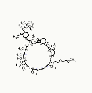 COCCOCCOC1C[C@@H]2CC[C@@H](C)[C@@](O)(O2)C(=O)C(=O)N2CCCC[C@H]2C(=O)O[C@H]([C@H](C)C[C@@H]2CCC(O[Si](C)(C)C(C)(C)C)[C@H](OC)C2)CC(=O)[C@H](C)/C=C(\C)[C@@H](O)[C@@H](OC)C(=O)[C@H](C)C[C@H](C)/C=C/C=C/C=C/1C